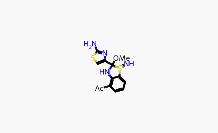 COC1(c2csc(N)n2)Nc2c(C(C)=O)cccc2S1=N